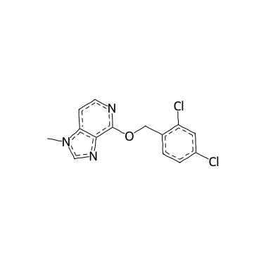 Cn1cnc2c(OCc3ccc(Cl)cc3Cl)nccc21